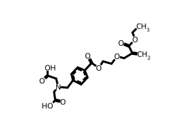 C=C(COCCOC(=O)c1ccc(CN(CC(=O)O)CC(=O)O)cc1)C(=O)OCC